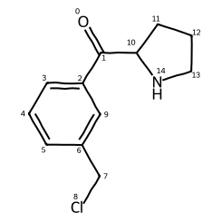 O=C(c1cccc(CCl)c1)C1CCCN1